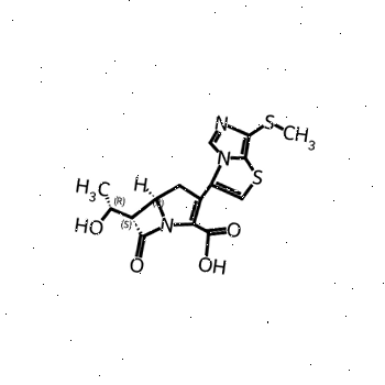 CSc1ncn2c(C3=C(C(=O)O)N4C(=O)[C@H]([C@@H](C)O)[C@H]4C3)csc12